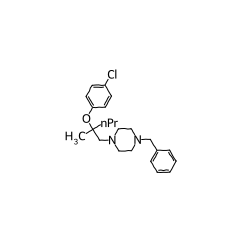 CCCC(C)(CN1CCN(Cc2ccccc2)CC1)Oc1ccc(Cl)cc1